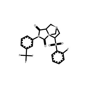 O=C1C2C[N@@]3CC(S(=O)(=O)c4ccccc4F)[N+]2(C3)C(=O)N1c1cccc(C(F)(F)F)c1